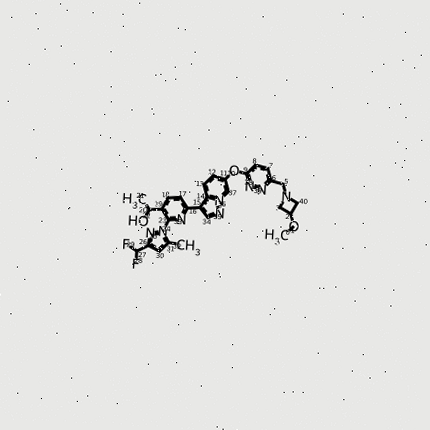 COC1CN(Cc2ccc(Oc3ccc4c(-c5ccc(C(C)O)c(-n6nc(C(F)F)cc6C)n5)cnn4c3)nn2)C1